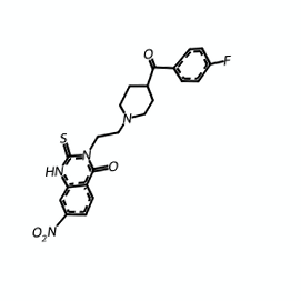 O=C(c1ccc(F)cc1)C1CCN(CCn2c(=S)[nH]c3cc([N+](=O)[O-])ccc3c2=O)CC1